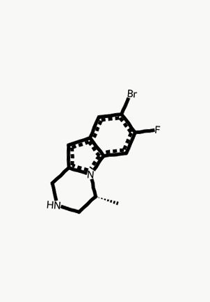 C[C@@H]1CNCc2cc3cc(Br)c(F)cc3n21